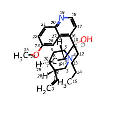 C=C[C@H]1CN2CC[C@H]1C[C@@H]2[C@](O)(CCCC)c1ccnc2ccc(OC)cc12